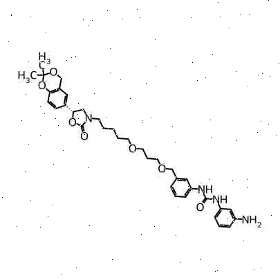 CC1(C)OCc2cc([C@@H]3CN(CCCCCOCCCOCc4cccc(NC(=O)Nc5cccc(N)c5)c4)C(=O)O3)ccc2O1